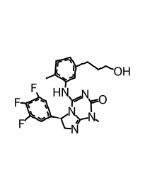 Cc1ccc(CCCO)cc1NC1=NC(=O)N(C)C2=NC[C@@H](c3cc(F)c(F)c(F)c3)N12